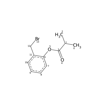 CC(C)C(=O)Oc1ccccc1CBr